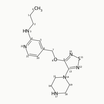 CCCNc1cc(COc2nsnc2N2CCNCC2)ccn1